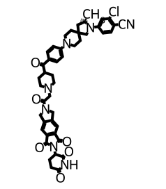 C[C@H]1CC2(CCN(c3ccc(C(=O)C4CCN(CC(=O)N5Cc6cc7c(cc6C5)C(=O)N(C5CCC(=O)NC5=O)C7=O)CC4)cc3)CC2)CN1c1ccc(C#N)c(Cl)c1